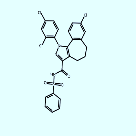 O=C(NS(=O)(=O)c1ccccc1)c1nn(-c2ccc(Cl)cc2Cl)c2c1CCCc1cc(Cl)ccc1-2